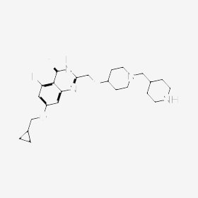 O=c1[nH]c(CSC2CCN(CC3CCNCC3)CC2)nc2cc(OCC3CC3)cc(F)c12